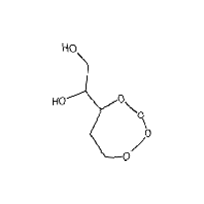 OCC(O)C1CCOOOO1